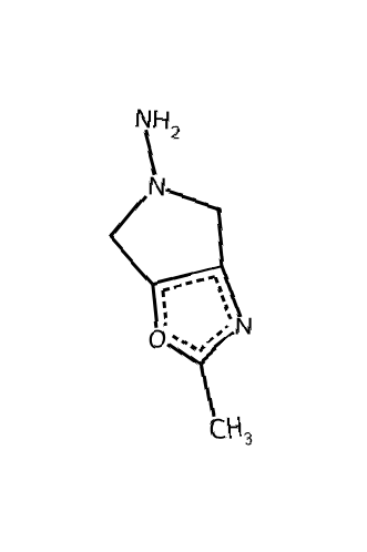 Cc1nc2c(o1)CN(N)C2